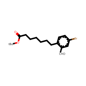 CC(C)(C)OC(=O)CCCCCCc1ccc(Br)cc1C=O